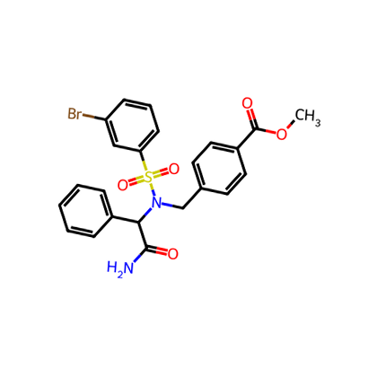 COC(=O)c1ccc(CN(C(C(N)=O)c2ccccc2)S(=O)(=O)c2cccc(Br)c2)cc1